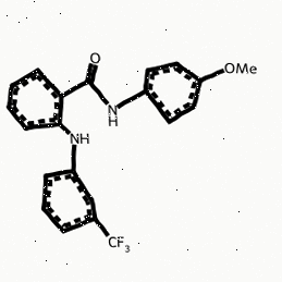 COc1ccc(NC(=O)c2ccccc2Nc2cccc(C(F)(F)F)c2)cc1